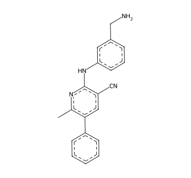 Cc1nc(Nc2cccc(CN)c2)c(C#N)cc1-c1ccccc1